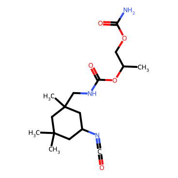 CC(COC(N)=O)OC(=O)NCC1(C)CC(N=C=O)CC(C)(C)C1